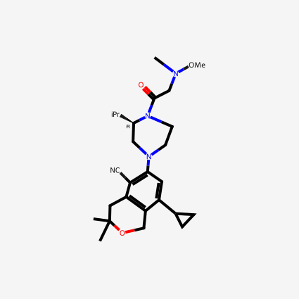 CON(C)CC(=O)N1CCN(c2cc(C3CC3)c3c(c2C#N)CC(C)(C)OC3)C[C@H]1C(C)C